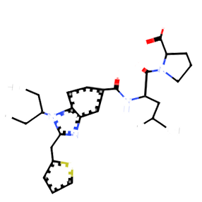 CCC(CC)n1c(Cc2cccs2)nc2cc(C(=O)NC(CC(C)C)C(=O)N3CCCC3C(=O)O)ccc21